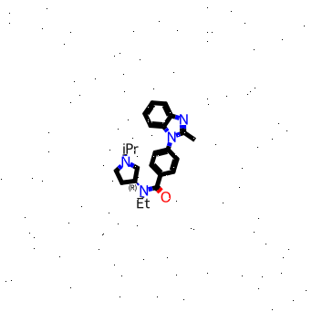 CCN(C(=O)c1ccc(-n2c(C)nc3ccccc32)cc1)[C@@H]1CCN(C(C)C)C1